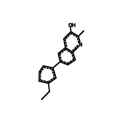 CCc1cccc(-c2ccc3nc(C)c(O)cc3c2)c1